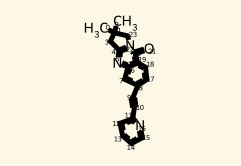 CC1(C)Cc2nc3cc(C#Cc4ccccn4)ccc3c(=O)n2C1